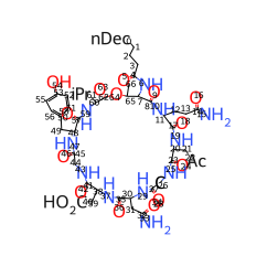 CCCCCCCCCCCCCC(=O)NC1C(=O)NC(CCC(N)=O)C(=O)NC(CC(C)=O)C(=O)NCC(=O)NC(CC(N)=O)C(=O)NC(CC(=O)O)C(=O)NCC(=O)NC(Cc2ccc(O)cc2)C(=O)NC(C(C)C)C(=O)OC1C